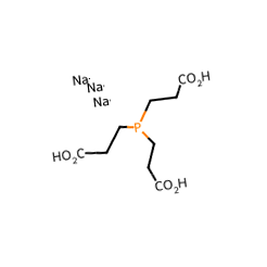 O=C(O)CCP(CCC(=O)O)CCC(=O)O.[Na].[Na].[Na]